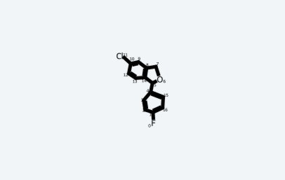 Fc1ccc(C2OCc3cc(Cl)ccc32)cc1